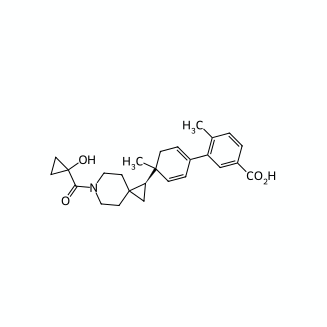 Cc1ccc(C(=O)O)cc1C1=CCC(C)([C@H]2CC23CCN(C(=O)C2(O)CC2)CC3)C=C1